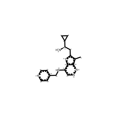 Cc1c(C[C@@H](N)C2CC2)sc2c(NCc3ccncc3)cnnc12